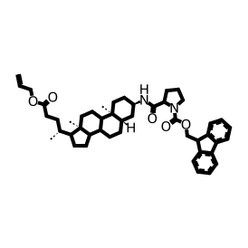 C=CCOC(=O)CC[C@@H](C)C1CCC2C3CC[C@@H]4C[C@H](NC(=O)C5CCCN5C(=O)OCC5c6ccccc6-c6ccccc65)CC[C@]4(C)C3CC[C@@]21C